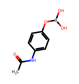 CC(=O)Nc1ccc(OB(O)O)cc1